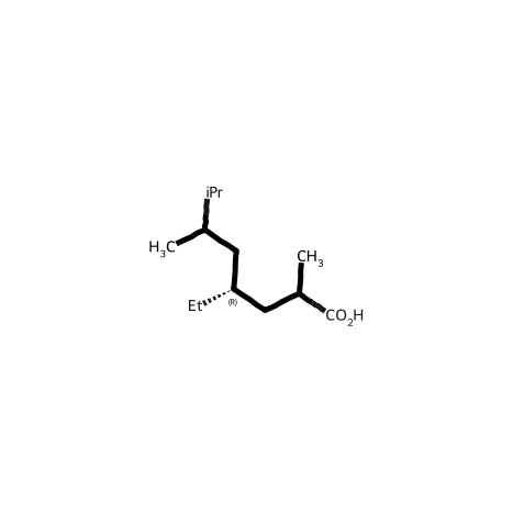 CC[C@@H](CC(C)C(=O)O)CC(C)C(C)C